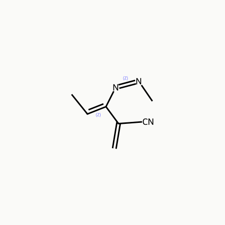 C=C(C#N)C(=C/C)/N=N\C